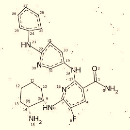 NC(=O)c1cc(F)c(N[C@H]2CCCC[C@H]2N)nc1Nc1ccc(Nc2ccccc2)nc1